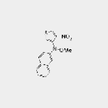 CON(c1ccc2ccccc2c1)c1cscc1[N+](=O)[O-]